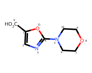 O=C(O)c1cnc(N2CCOCC2)o1